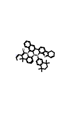 C/C=C\C1=C(CC)N2c3c(c#ccc3C1(C)C)B1c3c(cc4ccccc4c32)-c2ccc3c4c(sc3c2N1c1ccc2c(c1)C(C)(C)CCC2(C)C)C=CCC4